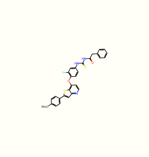 COc1ccc(-c2cc3nccc(Oc4ccc(NC(=S)NC(=O)Cc5ccccc5)cc4F)c3s2)cc1